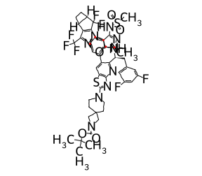 Cn1nc(NS(C)(=O)=O)c2cccc(-c3cc4sc(N5CCC6(CC5)CN(C(=O)OC(C)(C)C)C6)nc4nc3[C@H](Cc3cc(F)cc(F)c3)NC(=O)Cn3nc(C(F)(F)F)c4c3C(F)(F)[C@@H]3CC[C@H]43)c21